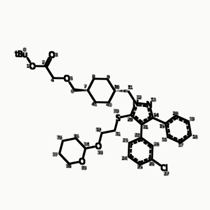 CC(C)(C)OC(=O)COC[C@H]1CC[C@H](Cn2nc(-c3ccccc3)c(-c3cccc(Cl)c3)c2SCCOC2CCCCO2)CC1